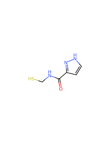 O=C(NCS)c1cc[nH]n1